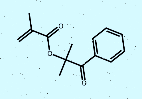 C=C(C)C(=O)OC(C)(C)C(=O)c1ccccc1